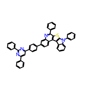 c1ccc(-c2cc(-c3ccc(-c4ccc5c(c4)nc(-c4ccccc4)c4sc6c(c7ccccc7n6-c6ccccc6)c45)cc3)nc(-c3ccccc3)n2)cc1